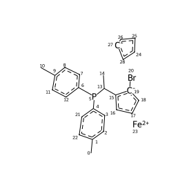 Cc1ccc(P(c2ccc(C)cc2)C(C)c2ccc[c-]2Br)cc1.[Fe+2].c1cc[cH-]c1